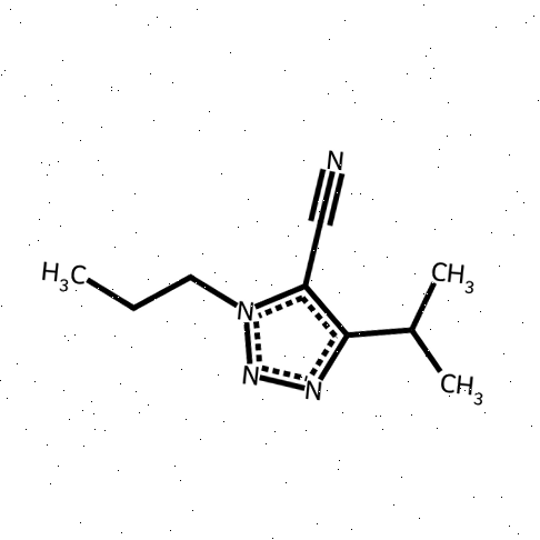 CCCn1nnc(C(C)C)c1C#N